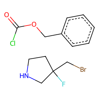 FC1(CBr)CCNC1.O=C(Cl)OCc1ccccc1